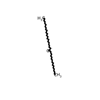 CCCCCCCCCCCCCCCCCCCCC[CH]C(=O)CCCCCCCCCCCCCCCCC